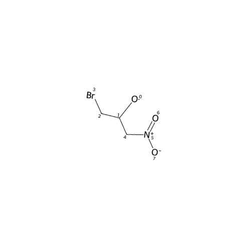 [O]C(CBr)C[N+](=O)[O-]